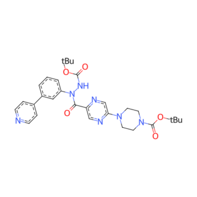 CC(C)(C)OC(=O)NN(C(=O)c1cnc(N2CCN(C(=O)OC(C)(C)C)CC2)cn1)c1cccc(-c2ccncc2)c1